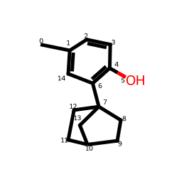 Cc1ccc(O)c(C23CCC(CC2)C3)c1